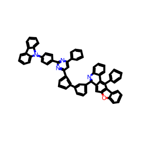 c1ccc(-c2cc(-c3cccc(-c4cccc(-c5nc6ccccc6c6c(-c7ccccc7)c7c(cc56)oc5ccccc57)c4)c3)nc(-c3ccc(-n4c5ccccc5c5ccccc54)cc3)n2)cc1